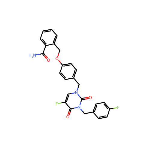 NC(=O)c1ccccc1COc1ccc(Cn2cc(F)c(=O)n(Cc3ccc(F)cc3)c2=O)cc1